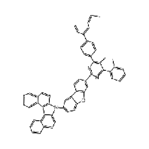 C=C/C(=C\C=C/C)c1ccc(-c2nc(-c3ccc4c(c3)oc3ccc(-n5c6ccc7ccccc7c6c6c7ccccc7ccc65)cc34)nc(-c3ccccc3C)c2C)cc1